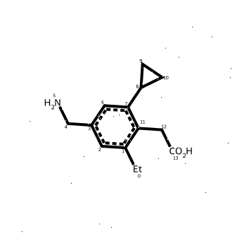 CCc1cc(CN)cc(C2CC2)c1CC(=O)O